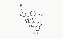 O=C(Nc1c2c(cc3c1CCC3)CCC2)NS(=O)(=O)N(c1cnn(CC(F)F)c1)C1CCOCC1.[Na]